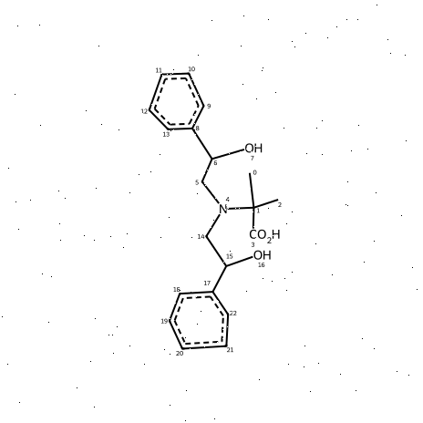 CC(C)(C(=O)O)N(CC(O)c1ccccc1)CC(O)c1ccccc1